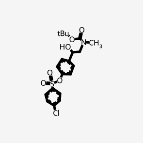 CN(CC(O)c1ccc(OS(=O)(=O)c2ccc(Cl)cc2)cc1)C(=O)OC(C)(C)C